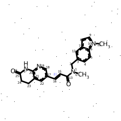 CN(Cc1ccc2c(ccn2C)c1)C(=O)/C=C/c1cnc2c(c1)CCC(=O)N2